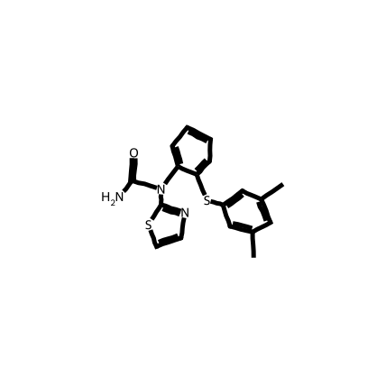 Cc1cc(C)cc(Sc2ccccc2N(C(N)=O)c2nccs2)c1